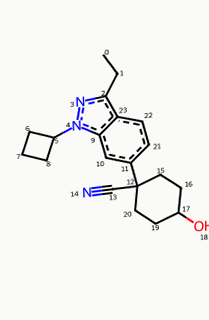 CCc1nn(C2CCC2)c2cc(C3(C#N)CCC(O)CC3)ccc12